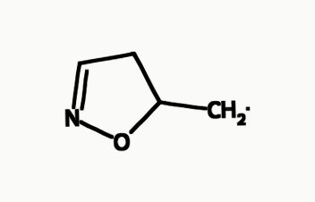 [CH2]C1CC=NO1